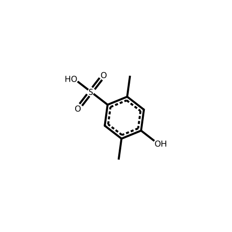 Cc1cc(S(=O)(=O)O)c(C)cc1O